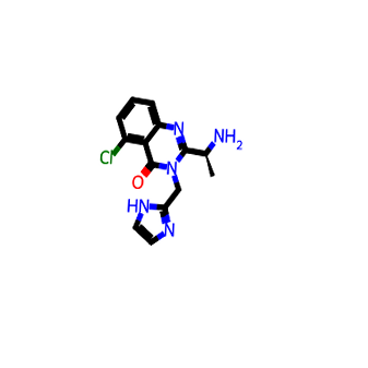 C[C@H](N)c1nc2cccc(Cl)c2c(=O)n1Cc1ncc[nH]1